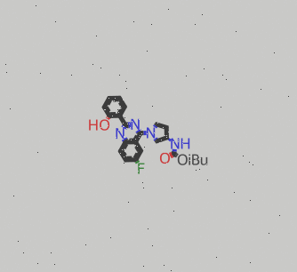 CC(C)COC(=O)N[C@@H]1CCN(c2nc(-c3ccccc3O)nc3ccc(F)cc23)C1